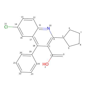 C=C(O)c1c(C2CCCC2)nc2ccc(Cl)cc2c1-c1ccccc1